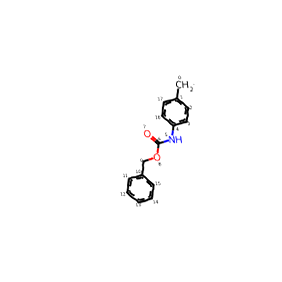 [CH2]c1ccc(NC(=O)OCc2ccccc2)cc1